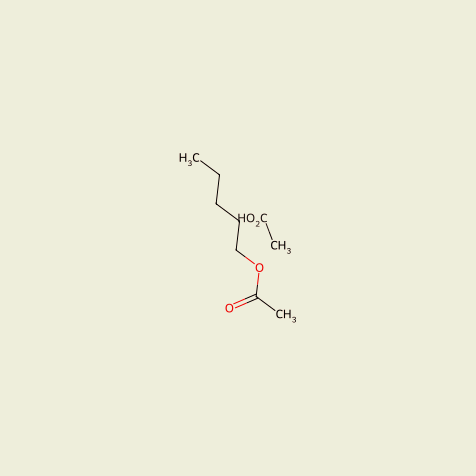 CC(=O)O.CCCCCOC(C)=O